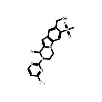 CC(C)C1c2cc3cc(CO)c(S(C)(=O)=O)cc3n2CCN1c1nccc(C(F)(F)F)n1